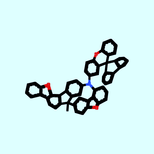 CC1(C)c2cc(N(c3ccc4c(c3)C3(c5ccccc5O4)c4ccccc4-c4ccccc43)c3cccc4oc5ccccc5c34)ccc2-c2c1ccc1c2oc2ccccc21